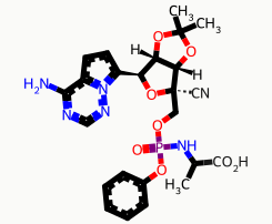 CC(NP(=O)(OC[C@@]1(C#N)O[C@@H](c2ccc3c(N)ncnn23)[C@@H]2OC(C)(C)O[C@@H]21)Oc1ccccc1)C(=O)O